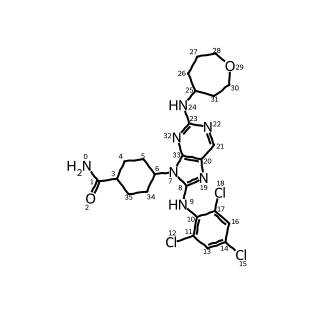 NC(=O)C1CCC(n2c(Nc3c(Cl)cc(Cl)cc3Cl)nc3cnc(NC4CCCOCC4)nc32)CC1